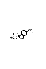 N[C@@]1(C(=O)O)CCc2cc(C(=O)O)ccc21